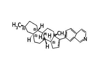 C[C@H]1CC[C@H]2[C@@H](CC[C@@H]3[C@@H]2CC[C@]2(C)C(c4ccc5ccncc5c4)=CC[C@@H]32)C1